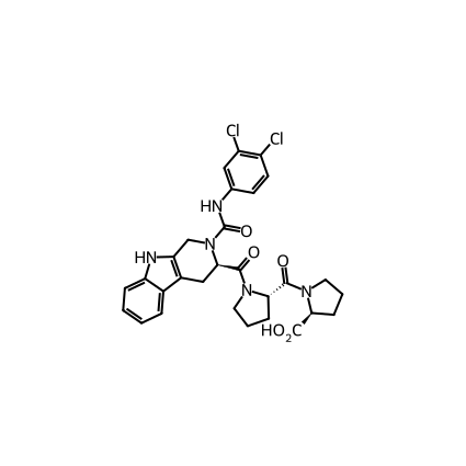 O=C(O)[C@@H]1CCCN1C(=O)[C@@H]1CCCN1C(=O)[C@H]1Cc2c([nH]c3ccccc23)CN1C(=O)Nc1ccc(Cl)c(Cl)c1